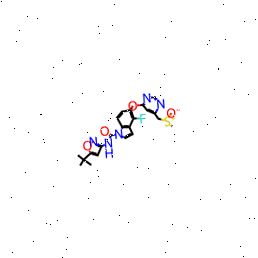 C[S+]([O-])Cc1cc(Oc2ccc3c(ccn3C(=O)Nc3cc(C(C)(C)C)on3)c2F)ncn1